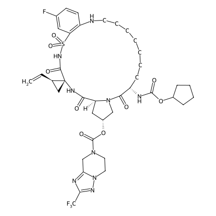 C=C[C@@H]1C[C@@]12NC(=O)[C@@H]1C[C@@H](OC(=O)N3CCn4nc(C(F)(F)F)nc4C3)CN1C(=O)[C@@H](NC(=O)OC1CCCC1)CCCCCCCNc1ccc(F)cc1S(=O)(=O)NC2=O